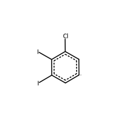 Clc1c[c]cc(I)c1I